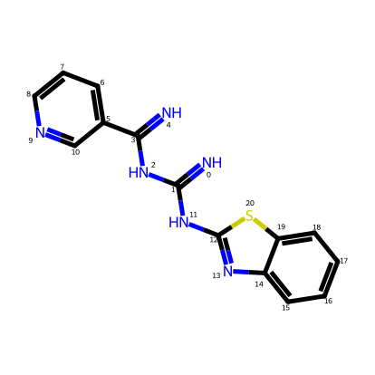 N=C(NC(=N)c1cccnc1)Nc1nc2ccccc2s1